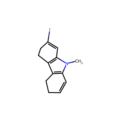 Cn1c2c(c3c1C=C(I)CC3)CCC=C2